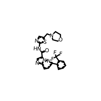 O=C(Nc1ncc(CN2CCOCC2)s1)c1cnc2ccc(-c3ccccc3C(F)(F)F)nn12